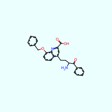 NC(CCc1cc(C(=O)O)nc2c(OCc3ccccc3)cccc12)C(=O)c1ccccc1